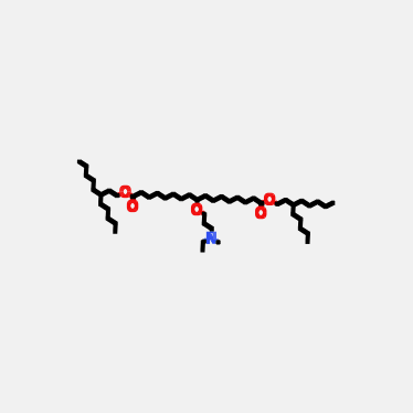 CCCCCC(CCCCC)CCOC(=O)CCCCCCCC(CCCCCCCC(=O)OCCC(CCCCC)CCCCC)OCCCN(C)CC